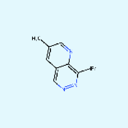 Cc1cnc2c(C(C)C)nncc2c1